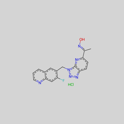 CC(=NO)c1ccc2nnn(Cc3cc4cccnc4cc3F)c2n1.Cl